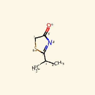 CC(C)C1=NC(=O)CS1